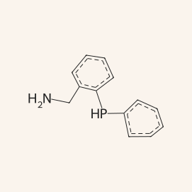 NCc1ccccc1Pc1ccccc1